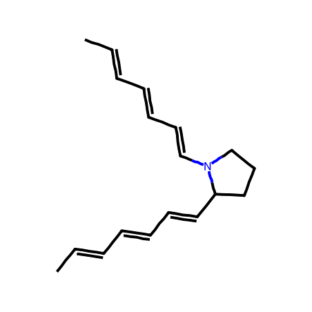 CC=CC=CC=CC1CCCN1C=CC=CC=CC